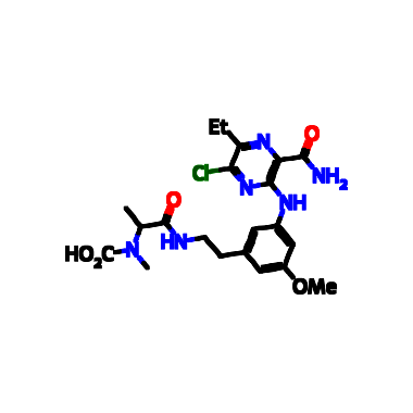 CCc1nc(C(N)=O)c(Nc2cc(CCNC(=O)C(C)N(C)C(=O)O)cc(OC)c2)nc1Cl